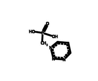 CP(=O)(O)O.c1cnnnc1